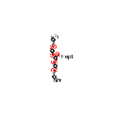 CCCCCCCC(=O)c1cc(OC(=O)c2ccc(OC(=O)CCc3ccc(CCC)cc3)cc2)ccc1OC(=O)c1ccc(OC(=O)CCc2ccc(CCC)cc2)cc1